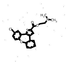 CN(C)CCOC(=O)c1cc2c(s1)-c1cc(Cl)ccc1Oc1ccccc1-2